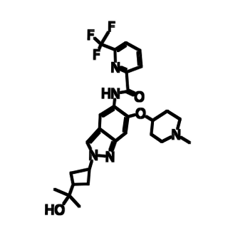 CN1CCC(Oc2cc3nn(C4CC(C(C)(C)O)C4)cc3cc2NC(=O)c2cccc(C(F)(F)F)n2)CC1